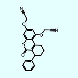 N#CCOc1cc(OCC#N)c2c3c(c(=O)oc2c1)C(c1ccccc1)CCC3